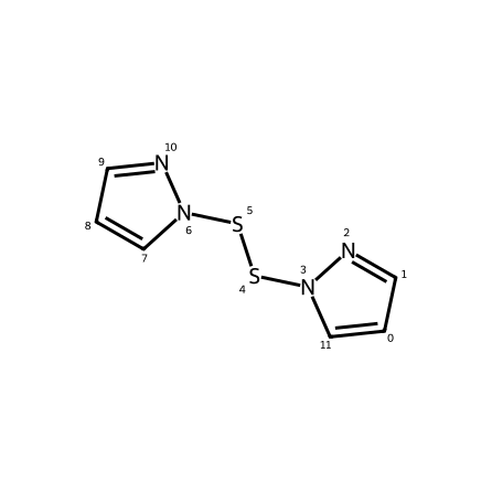 c1cnn(SSn2cccn2)c1